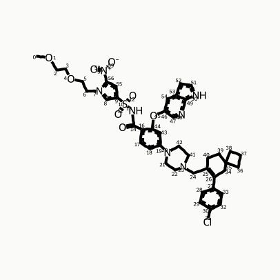 COCCOCCn1cc(S(=O)(=O)NC(=O)c2ccc(N3CCN(CC4=C(c5ccc(Cl)cc5)CC5(CCC5)CC4)CC3)cc2Oc2cnc3[nH]ccc3c2)cc1[N+](=O)[O-]